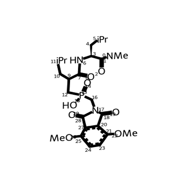 CNC(=O)[C@H](CC(C)C)NC(=O)C(CC(C)C)CP(=O)(O)CN1C(=O)c2c(OC)ccc(OC)c2C1=O